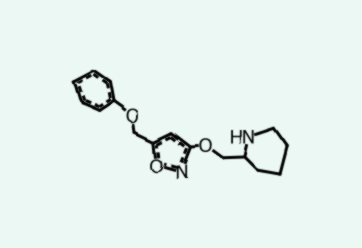 c1ccc(OCc2cc(OCC3CCCCN3)no2)cc1